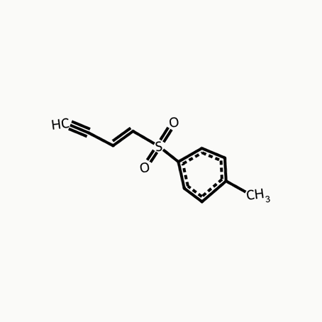 C#C/C=C/S(=O)(=O)c1ccc(C)cc1